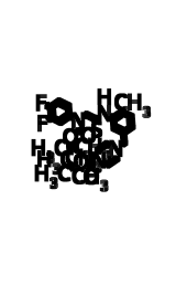 Cc1ccc(CN2CCN(C(=O)OC(C)(C)C)CC2)cc1NC(=S)CN(C(=O)OC(C)(C)C)c1ccc(F)c(F)c1